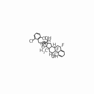 C[C@]12C=CCC=C1[C@@H](F)C[C@H]1C3C[C@H]4CN(Cc5c(Cl)cccc5Cl)O[C@@]4(C(=O)CO)[C@@]3(C)C[C@H](O)[C@@]12F